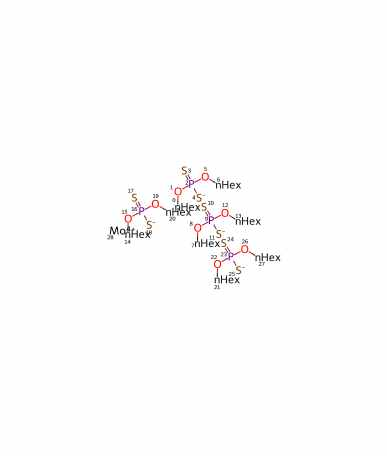 CCCCCCOP(=S)([S-])OCCCCCC.CCCCCCOP(=S)([S-])OCCCCCC.CCCCCCOP(=S)([S-])OCCCCCC.CCCCCCOP(=S)([S-])OCCCCCC.[Mo+4]